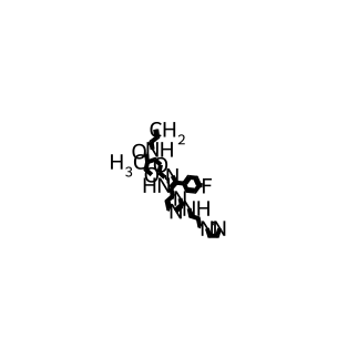 C=CCNC(=O)C1(C)COC(c2nc(-c3ccc(F)cc3)c(-c3ccnc(NCCCN4C=NCC4)n3)[nH]2)OC1